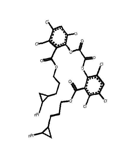 CCCC1CC1CCCOC(=O)c1c(Cl)c(Cl)cc(Cl)c1OC(=O)C(=O)Oc1c(Cl)cc(Cl)c(Cl)c1C(=O)OCCCC1CC1CCC